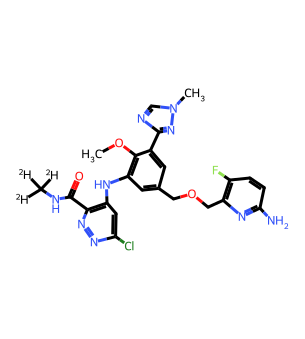 [2H]C([2H])([2H])NC(=O)c1nnc(Cl)cc1Nc1cc(COCc2nc(N)ccc2F)cc(-c2ncn(C)n2)c1OC